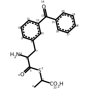 CC(SC(=O)C(N)Cc1cccc(C(=O)c2ccccc2)c1)C(=O)O